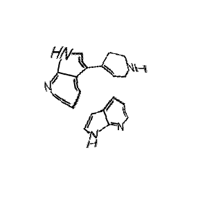 C1=C(c2c[nH]c3ncccc23)CCNC1.c1cnc2[nH]ccc2c1